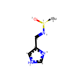 CC(C)(C)[S@+]([O-])/N=C/c1c[nH]cn1